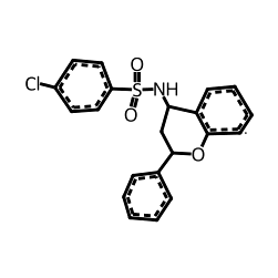 O=S(=O)(NC1CC(c2ccccc2)Oc2[c]cccc21)c1ccc(Cl)cc1